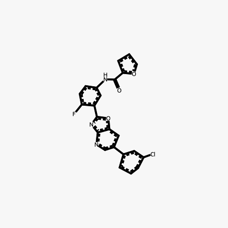 O=C(Nc1ccc(F)c(-c2nc3ncc(-c4cccc(Cl)c4)cc3o2)c1)c1ccco1